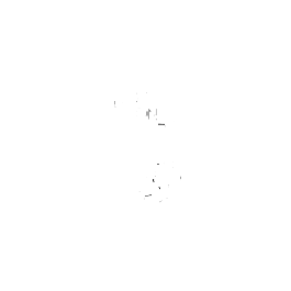 CC1=CC1C(=O)ON(C)C(=O)CCCC(=O)ON1C(=O)C=CC1=O